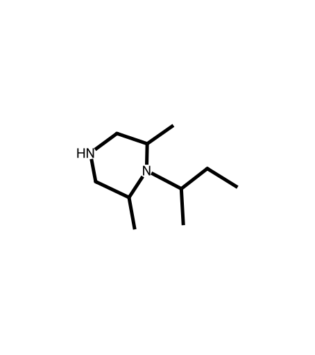 CCC(C)N1C(C)CNCC1C